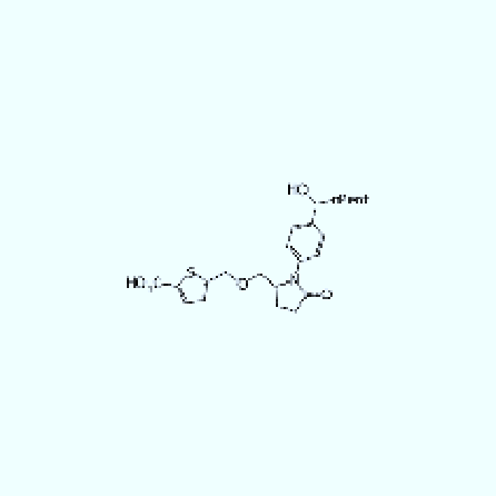 CCCCCC(O)c1ccc(N2C(=O)CCC2COCc2ccc(C(=O)O)s2)cc1